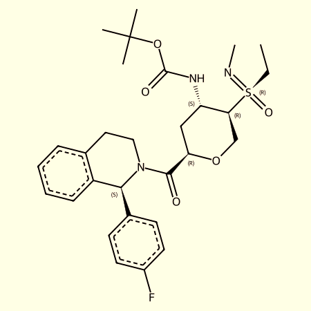 CC[S@](=O)(=NC)[C@H]1CO[C@@H](C(=O)N2CCc3ccccc3[C@@H]2c2ccc(F)cc2)C[C@@H]1NC(=O)OC(C)(C)C